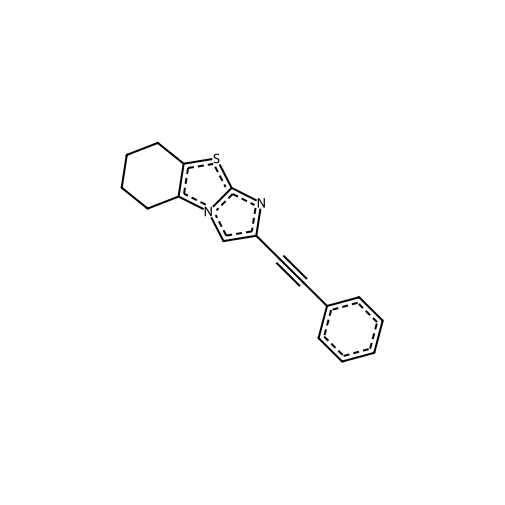 C(#Cc1cn2c3c(sc2n1)CCCC3)c1ccccc1